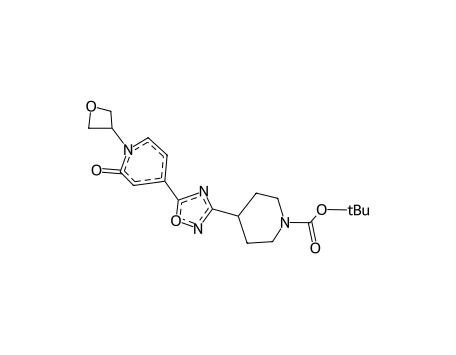 CC(C)(C)OC(=O)N1CCC(c2noc(-c3ccn(C4COC4)c(=O)c3)n2)CC1